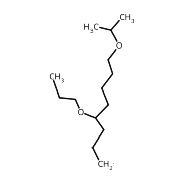 [CH2]CCC(CCCCOC(C)C)OCCC